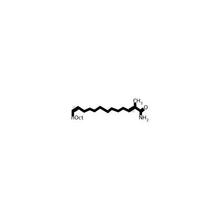 CCCCCCCC/C=C\CCCCCCCC/C=C(\C)C(N)=O